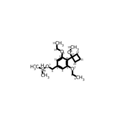 CCOc1cc(CO[SiH](C)C)cc(OCC)c1C1(OC)CCC1